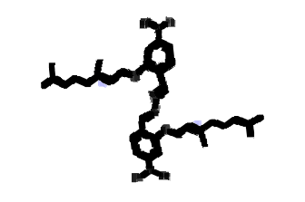 CCN(CC)c1ccc(C=NN=Cc2ccc(N(CC)CC)cc2OC/C=C(\C)CCC=C(C)C)c(OC/C=C(\C)CCC=C(C)C)c1